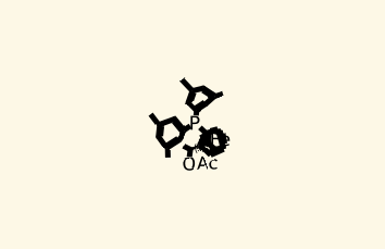 CC(=O)OC(C)[C@@]12[CH]3[CH]4[CH]5[C]1(P(c1cc(C)cc(C)c1)c1cc(C)cc(C)c1)[Fe]45321678[CH]2[CH]1[CH]6[CH]7[CH]28